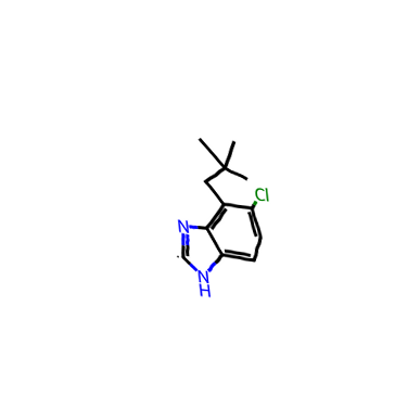 CC(C)(C)Cc1c(Cl)ccc2[nH][c]nc12